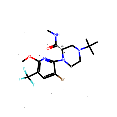 CNC(=O)[C@@H]1CN(C(C)(C)C)CCN1c1nc(OC)c(C(F)(F)F)cc1Br